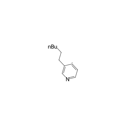 CCCCCCc1[c]ccnc1